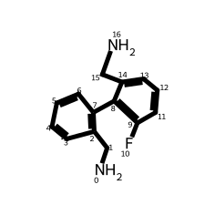 NCc1[c]cccc1-c1c(F)cccc1CN